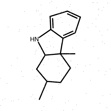 CC1CCC2(C)c3ccccc3NC2C1